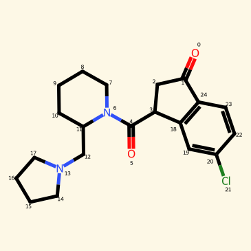 O=C1CC(C(=O)N2CCCCC2CN2CCCC2)c2cc(Cl)ccc21